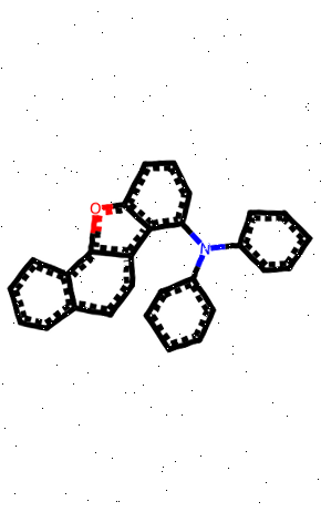 c1ccc(N(c2ccccc2)c2cccc3oc4c5ccccc5ccc4c23)cc1